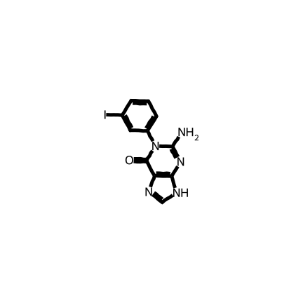 Nc1nc2[nH]cnc2c(=O)n1-c1cccc(I)c1